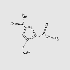 COC(=O)c1cc(I)cc(C(=O)O)c1.[NaH]